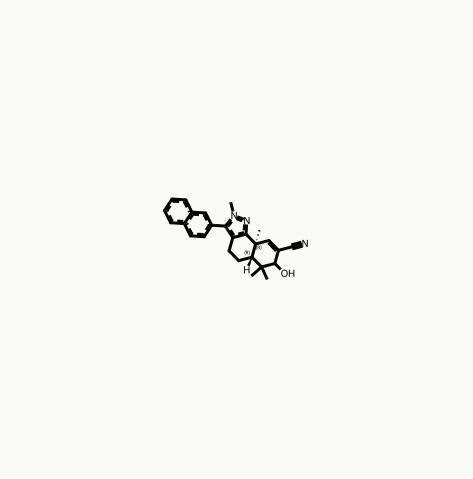 Cn1nc2c(c1-c1ccc3ccccc3c1)CC[C@H]1C(C)(C)C(O)C(C#N)=C[C@]21C